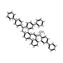 CN(c1ccc(-c2ccccc2)cc1)c1cc2cc(CN(c3ccc(-c4ccccc4)cc3)c3ccc(-c4ccccc4)cc3)ccc2c2ccccc12